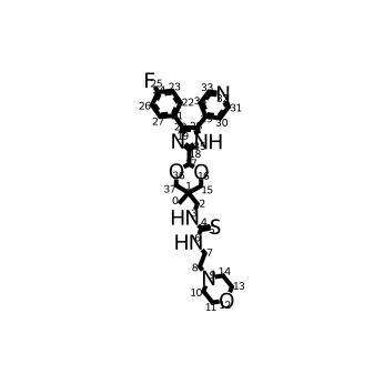 CC1(CNC(=S)NCCN2CCOCC2)COC(c2nc(-c3ccc(F)cc3)c(-c3ccncc3)[nH]2)OC1